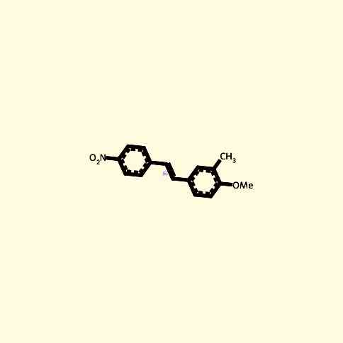 COc1ccc(/C=C/c2ccc([N+](=O)[O-])cc2)cc1C